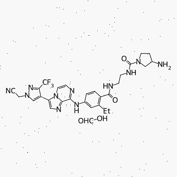 CCc1cc(Nc2nccn3c(-c4cn(CC#N)nc4C(F)(F)F)cnc23)ccc1C(=O)NCCNC(=O)N1CCC(N)C1.O=CO